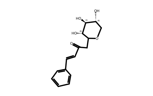 O=C(C=Cc1ccccc1)CC1OC[C@@H](O)[C@H](O)[C@H]1O